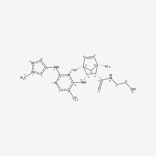 Cn1cc(Nc2ncc(C(F)(F)F)c(N[C@H]3[C@@H](C(=O)NCCO)[C@@H]4C=C[C@H]3C4)n2)cn1